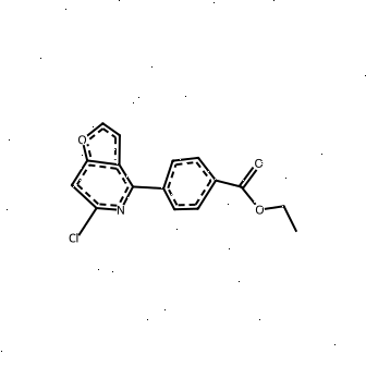 CCOC(=O)c1ccc(-c2nc(Cl)cc3occc23)cc1